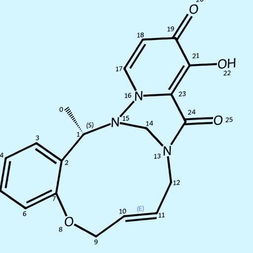 C[C@H]1c2ccccc2OC/C=C/CN2CN1n1ccc(=O)c(O)c1C2=O